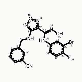 N#Cc1cccc(CNc2nonc2/C(=N/O)Nc2ccc(F)c(Br)c2)c1